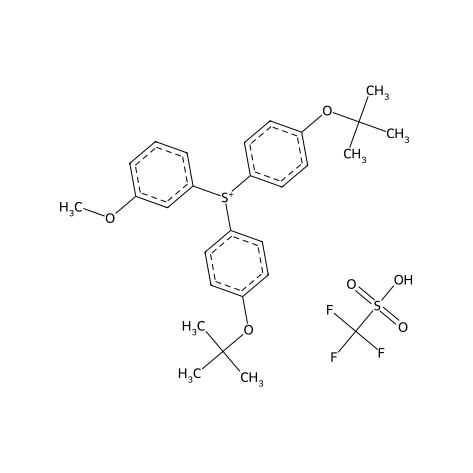 COc1cccc([S+](c2ccc(OC(C)(C)C)cc2)c2ccc(OC(C)(C)C)cc2)c1.O=S(=O)(O)C(F)(F)F